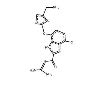 CNC(N)=NC(=O)c1cc2c(Cl)ccc(Oc3ccc(CN)s3)c2[nH]1